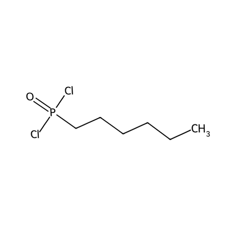 CCCCCCP(=O)(Cl)Cl